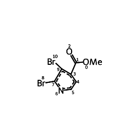 COC(=O)c1ccnc(Br)c1Br